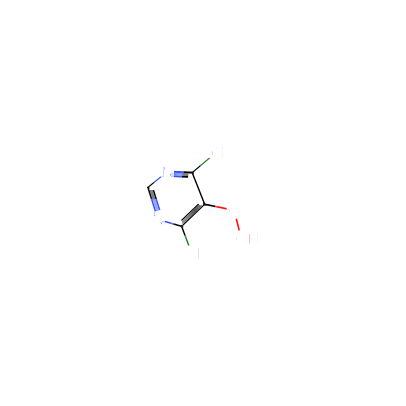 OOc1c(Cl)ncnc1Cl